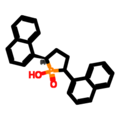 O=P1(O)C(c2cccc3ccccc23)CC[C@@H]1c1cccc2ccccc12